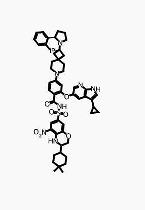 CC(C)c1ccccc1[C@H]1CCCN1C1CC2(CCN(c3ccc(C(=O)NS(=O)(=O)c4cc5c(c([N+](=O)[O-])c4)NC(C4CCC(C)(C)CC4)CO5)c(Oc4cnc5[nH]cc(C6CC6)c5c4)c3)CC2)C1